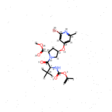 C=C(C)OC(=O)N[C@H](C(=O)N1C[C@H](Oc2cc(C)nc(Br)c2)C[C@H]1C(=O)OC)C(C)(C)C